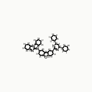 c1ccc(-c2cc(-c3ccccc3)nc(-c3ccc4oc5ccc(-n6c7ccccc7n7c8ccccc8nc67)cc5c4c3)n2)cc1